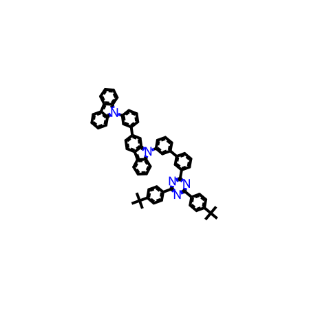 CC(C)(C)c1ccc(-c2nc(-c3ccc(C(C)(C)C)cc3)nc(-c3cccc(-c4cccc(-n5c6ccccc6c6ccc(-c7cccc(-n8c9ccccc9c9ccccc98)c7)cc65)c4)c3)n2)cc1